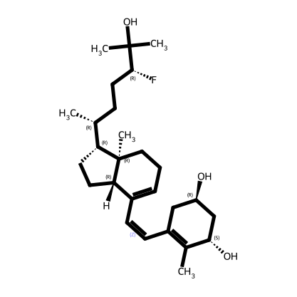 CC1=C(/C=C\C2=CCC[C@]3(C)[C@@H]([C@H](C)CC[C@@H](F)C(C)(C)O)CC[C@@H]23)C[C@@H](O)C[C@@H]1O